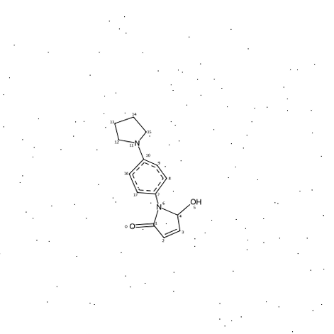 O=C1C=CC(O)N1c1ccc(N2CCCC2)cc1